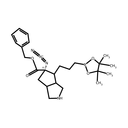 CC1(C)OB(CCCC2C3CNCC3C[C@@]2(N=[N+]=[N-])C(=O)OCc2ccccc2)OC1(C)C